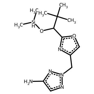 C[SiH](C)OC(c1nc(Cn2ncc(N)n2)co1)C(C)(C)C